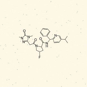 CC(C)c1ccc(C(NC(=O)C2CC(F)CN2C(=O)Cc2nn(C)c(=O)n2C)c2ccccc2)nc1